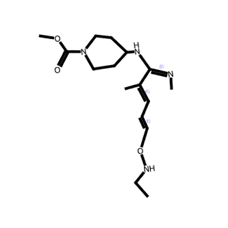 CCNO/C=C/C=C(C)/C(=N\C)NC1CCN(C(=O)OC)CC1